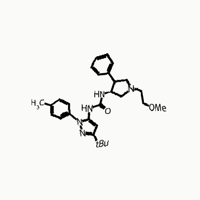 COCCN1CC(c2ccccc2)[C@H](NC(=O)Nc2cc(C(C)(C)C)nn2-c2ccc(C)cc2)C1